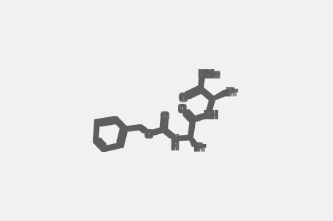 CNC(=O)[C@H](NC(=O)[C@H](NC(=O)OCc1ccccc1)C(C)C)C(C)C